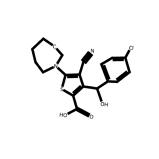 N#Cc1c(N2CCCCCC2)sc(C(=O)O)c1C(O)c1ccc(Cl)cc1